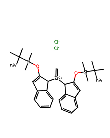 [CH2]=[Zr+2]([CH]1C(O[Si](C)(C)C(C)(C)CCC)=Cc2ccccc21)[CH]1C(O[Si](C)(C)C(C)(C)CCC)=Cc2ccccc21.[Cl-].[Cl-]